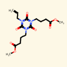 C=CCn1c(=O)n(CCCC(=O)OC)c(=O)n(CCCC(=O)OC)c1=O